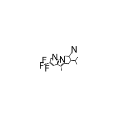 Cc1c2n(c3ncc(C(F)(F)F)cc13)CC(C#N)C(C(C)C)C2